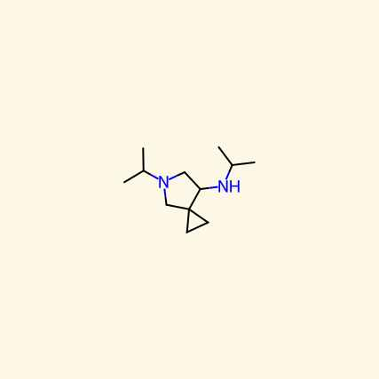 CC(C)NC1CN(C(C)C)CC12CC2